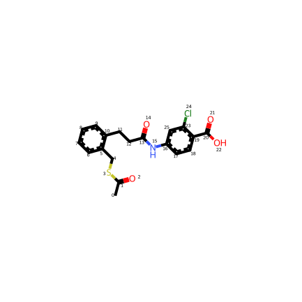 CC(=O)SCc1ccccc1CCC(=O)Nc1ccc(C(=O)O)c(Cl)c1